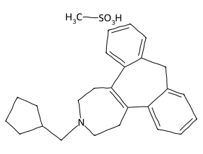 CS(=O)(=O)O.c1ccc2c(c1)Cc1ccccc1C1=C2CCN(CC2CCCC2)CC1